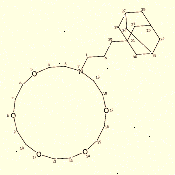 C(CN1CCOCCOCCOCCOCCOCC1)CC12CC3CC(CC(C3)C1)C2